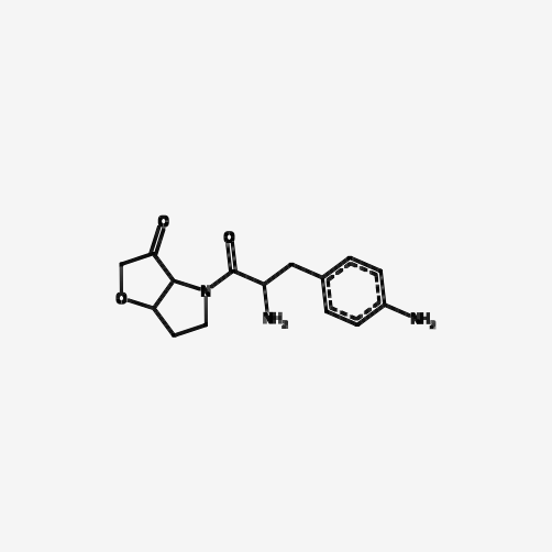 Nc1ccc(CC(N)C(=O)N2CCC3OCC(=O)C32)cc1